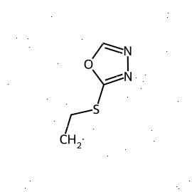 [CH2]CSc1nnco1